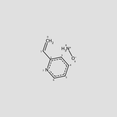 C=Cc1ccccn1.[NH3+][O-]